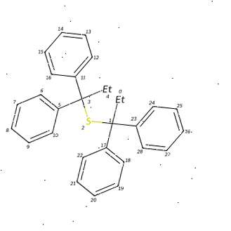 CCC(SC(CC)(c1ccccc1)c1ccccc1)(c1ccccc1)c1ccccc1